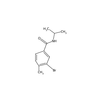 Cc1ccc(C(=O)NC(C)C)cc1Br